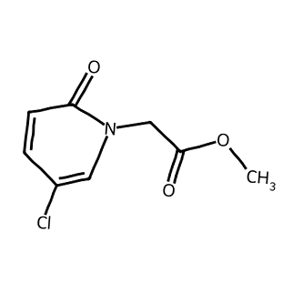 COC(=O)Cn1cc(Cl)ccc1=O